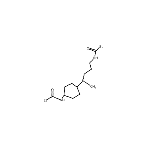 CCC(=O)NCCCN(C)C1CCC(NC(=O)CC)CC1